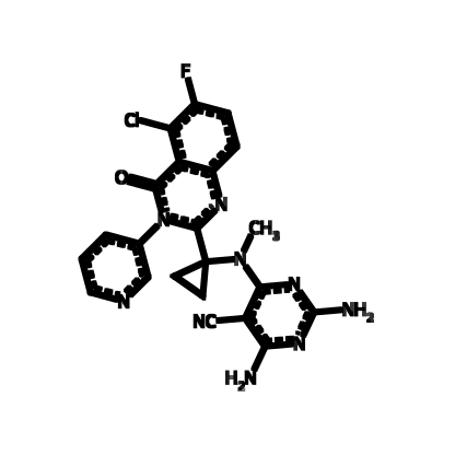 CN(c1nc(N)nc(N)c1C#N)C1(c2nc3ccc(F)c(Cl)c3c(=O)n2-c2cccnc2)CC1